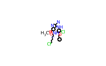 CCOc1cc2ncc(C#N)c(Nc3ccc(OCc4ccccc4)c(Cl)c3)c2cc1NC(=O)/C=C/CCCCl